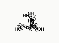 CC(=O)[C@@]1(CCCNC(=O)c2ccc(C(=N)N)cc2)C(=O)N(CC(=O)O)CCN1NC(=O)c1ccc(CCN)cc1.O=C(O)C(F)(F)F